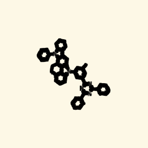 Cc1cc(-c2nc(-c3ccccc3)nc(-c3ccccc3)n2)cc(-n2c3cccc4c3c3c(c5c(cc32)c2ccccc2n5-c2ccccc2)CC4)c1